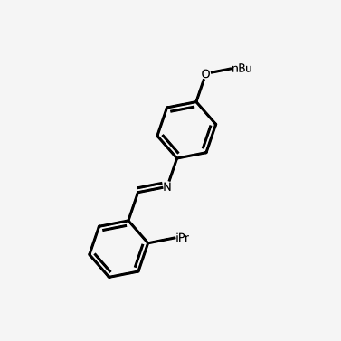 CCCCOc1ccc(N=Cc2ccccc2C(C)C)cc1